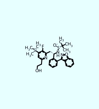 CC(C)(C)[S@+]([O-])N[C@@H](Cc1nc(CCO)cc([Si](C)(C)C)c1F)c1ccccc1-c1noc2ccccc12